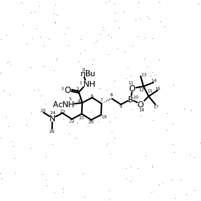 CCCCNC(=O)C1(NC(C)=O)C[C@H](CCB2OC(C)(C)C(C)(C)O2)CCC1CCN(C)C